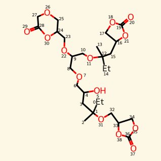 CCC(C)(CC(O)COCC(COC(C)(CC)CC1COC(=O)O1)OCC1COCC(=O)O1)OCC1COC(=O)O1